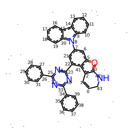 C1=Cc2c(oc3cc(-n4c5ccccc5c5ccccc54)cc(-c4nc(-c5ccccc5)nc(-c5ccccc5)n4)c23)NC1